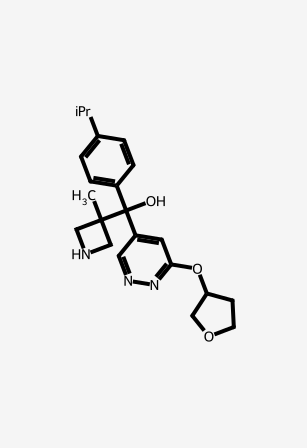 CC(C)c1ccc(C(O)(c2cnnc(OC3CCOC3)c2)C2(C)CNC2)cc1